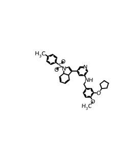 COc1ccc(CNc2cncc(C3=CN(S(=O)(=O)c4ccc(C)cc4)C4C=CC=CC34)c2)cc1OC1CCCC1